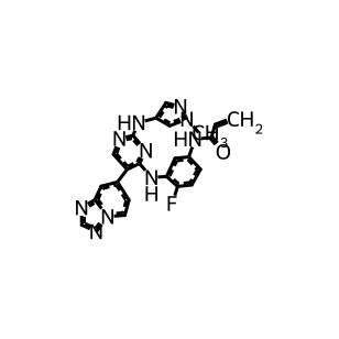 C=CC(=O)Nc1ccc(F)c(Nc2nc(Nc3cnn(C)c3)ncc2-c2ccn3ncnc3c2)c1